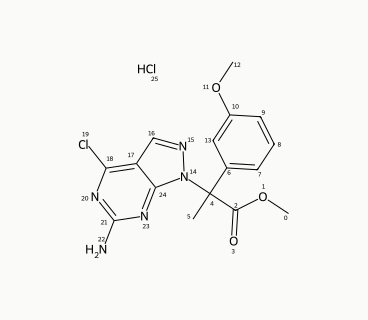 COC(=O)C(C)(c1cccc(OC)c1)n1ncc2c(Cl)nc(N)nc21.Cl